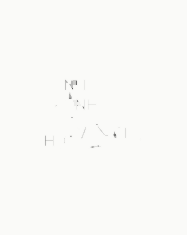 Cc1ccc(C)c(C2CCC(=N)N2)c1